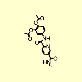 [CH2]NC(=O)c1ccc(C(=O)Nc2ccc(OC(C)=O)c(OC(C)=O)c2)nc1